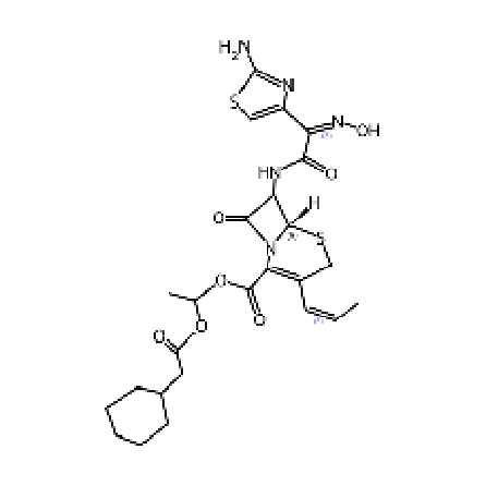 C/C=C\C1=C(C(=O)OC(C)OC(=O)CC2CCCCC2)N2C(=O)C(NC(=O)/C(=N\O)c3csc(N)n3)[C@@H]2SC1